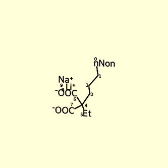 CCCCCCCCCCCCC(CC)(C(=O)[O-])C(=O)[O-].[Li+].[Na+]